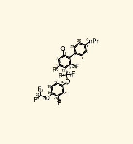 CCCc1ccc(-c2c([O])cc(F)c(C(F)(F)Oc3ccc(OC(F)F)c(F)c3)c2F)cc1